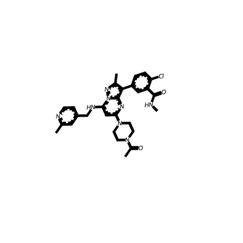 CNC(=O)c1cc(-c2c(C)nn3c(NCc4ccnc(C)c4)cc(N4CCN(C(C)=O)CC4)nc23)ccc1Cl